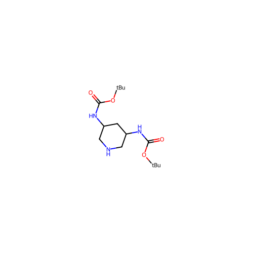 CC(C)(C)OC(=O)NC1CNCC(NC(=O)OC(C)(C)C)C1